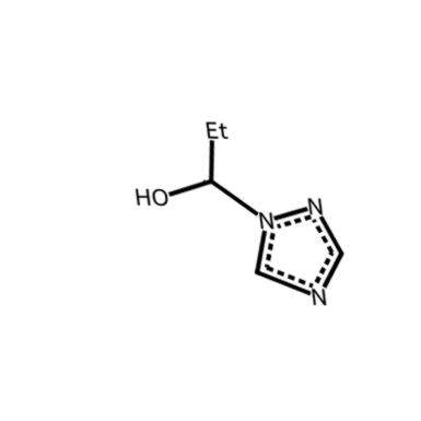 CC[C](O)n1cncn1